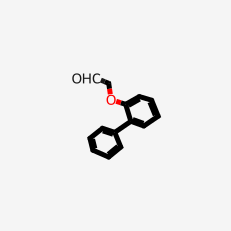 O=CCOc1ccccc1-c1ccccc1